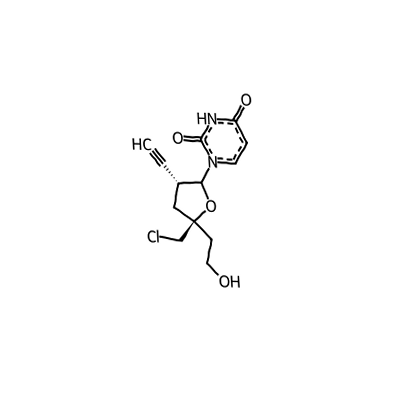 C#C[C@H]1C[C@@](CCl)(CCO)OC1n1ccc(=O)[nH]c1=O